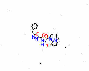 CN1C(=O)C(NC(=O)c2nnc(Cc3ccccc3)o2)COc2cccnc21